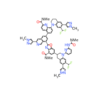 CNC(=O)Nc1cccc(N2CC(c3cc(C(=O)NC)c4nc(-c5cc(-c6ccc(N7CCCc8cc(-c9cnn(C)c9)c(C(F)F)cc87)c7nc(C(=O)NC)ccc67)cc6cc(-c7cnn(C)c7)ncc56)oc4c3)Cc3cc(-c4cnn(C)c4)c(C(F)F)cc32)n1